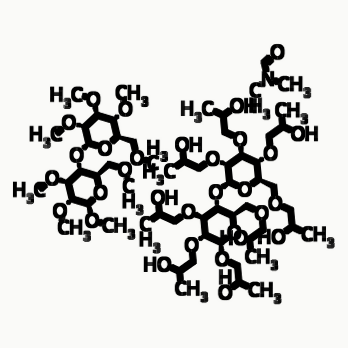 CC(O)COC[C@H]1O[C@@H](O[C@H]2[C@H](OCC(C)O)[C@@H](OCC(C)O)[C@H](OCC(C)O)O[C@@H]2COCC(C)O)[C@H](OCC(C)O)[C@@H](OCC(C)O)[C@@H]1OCC(C)O.CN(C)C=O.COC[C@H]1O[C@@H](O[C@H]2[C@H](OC)[C@@H](OC)[C@H](OC)O[C@@H]2COC)[C@H](OC)[C@@H](OC)[C@@H]1OC